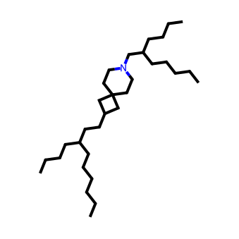 CCCCCCC(CCCC)CCC1CC2(CCN(CC(CCCC)CCCCC)CC2)C1